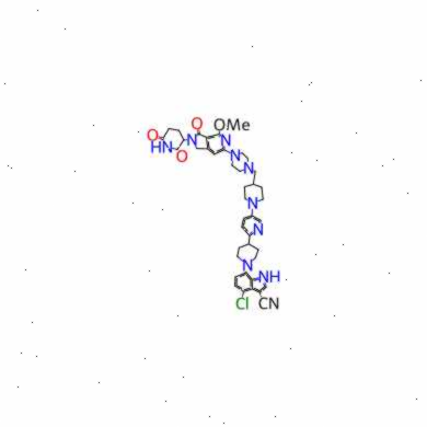 COc1nc(N2CCN(CC3CCN(c4ccc(C5CCN(c6ccc(Cl)c7c(C#N)c[nH]c67)CC5)nc4)CC3)CC2)cc2c1C(=O)N(C1CCC(=O)NC1=O)C2